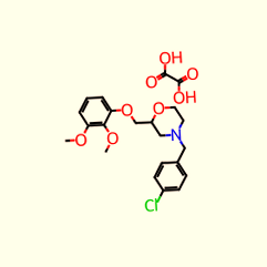 COc1cccc(OCC2CN(Cc3ccc(Cl)cc3)CCO2)c1OC.O=C(O)C(=O)O